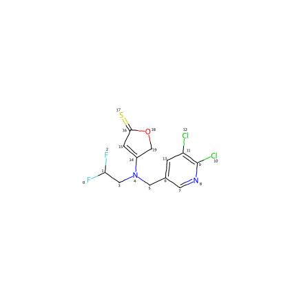 FC(F)CN(Cc1cnc(Cl)c(Cl)c1)C1=CC(=S)OC1